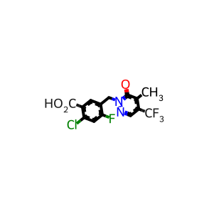 Cc1c(C(F)(F)F)cnn(Cc2cc(C(=O)O)c(Cl)cc2F)c1=O